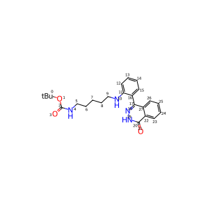 CC(C)(C)OC(=O)NCCCCCNc1ccccc1-c1n[nH]c(=O)c2ccccc12